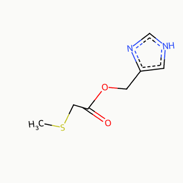 CSCC(=O)OCc1c[nH]cn1